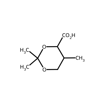 CC1COC(C)(C)OC1C(=O)O